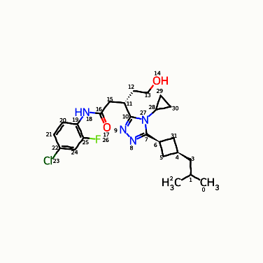 CC(C)C[C@H]1C[C@@H](c2nnc([C@@H](CCO)CC(=O)Nc3ccc(Cl)cc3F)n2C2CC2)C1